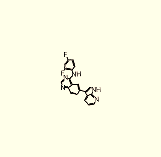 Fc1ccc(Nc2ncnc3ccc(-c4c[nH]c5ncccc45)cc23)c(F)c1